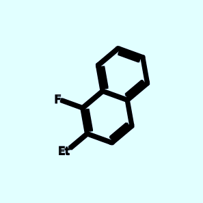 CCc1ccc2ccccc2c1F